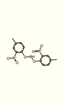 Cc1ccc(OBOc2ccc(C)cc2[N+](=O)[O-])c([N+](=O)[O-])c1